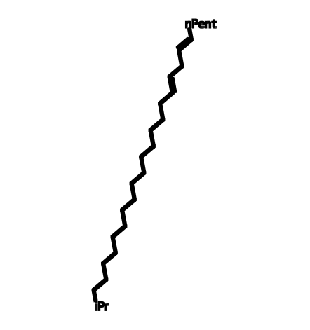 CCCCCC=CCC=CCCCCCCCCCCCCCCCC(C)C